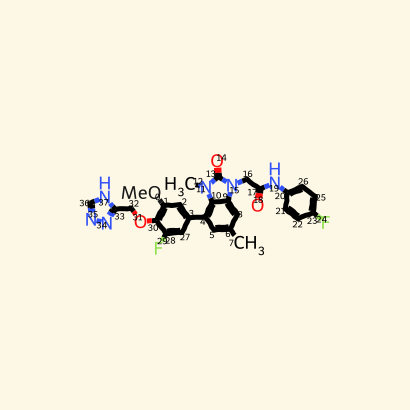 COc1cc(-c2cc(C)cc3c2n(C)c(=O)n3CC(=O)Nc2ccc(F)cc2)cc(F)c1OCc1nnc[nH]1